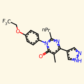 CCCc1nc(-c2cn[nH]c2)c(C)c(=O)n1-c1ccc(OCC(F)(F)F)cc1